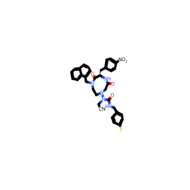 N#CCN(C(=O)NCc1ccc(F)cc1)N1CCN(Cc2cccc3ccccc23)C(=O)[C@H](Cc2ccc([N+](=O)[O-])cc2)NC(=O)C1